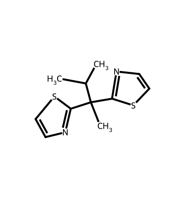 CC(C)C(C)(c1nccs1)c1nccs1